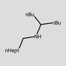 CCCCCCCCNC(CCCC)CCCC